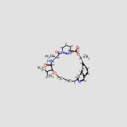 CC(C)C1OCCCCCc2cc3cc(ccc3cn2)[C@@H](C)OC(=O)[C@@H]2CCCN(N2)C(=O)[C@H](C)NC1=O